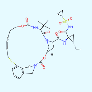 CC[C@H]1C[C@@]1(NC(=O)C1C[C@@H]2CN1C(=O)[C@H](C(C)(C)C)NC(=O)OCCC/C=C/CSc1cccc3c1CN(C3)C(=O)O2)C(=O)NS(=O)(=O)C1CC1